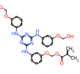 C=C(C)C(=O)OCOc1cccc(Nc2nc(Nc3cccc(OCO)c3)nc(Nc3cccc(OCO)c3)n2)c1